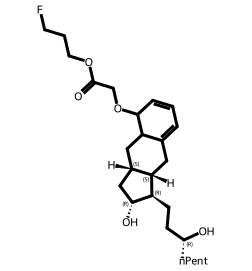 CCCCC[C@@H](O)CC[C@@H]1[C@H]2CC3=CC=CC(OCC(=O)OCCCF)C3C[C@H]2C[C@H]1O